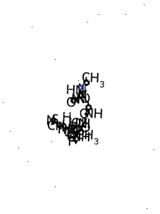 Cc1cccc(/C=N/Nc2cc(N3CCOCC3)nc(OCCc3ccc(NC(=O)CCCNC(=O)CSC(C)(C)[C@H](NC(=O)C4(F)CC4)C(=O)N4C[C@H](O)C[C@H]4C(=O)NCc4ccc(-c5scnc5C)cc4)cc3)n2)c1